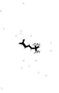 CCCC(C)(CCC=C(C)C)OC(C)=O